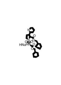 O=C(NS(=O)(=O)n1ccc(-c2ccccn2)c1C(=O)OCc1ccccc1)OCc1ccccc1.[NaH]